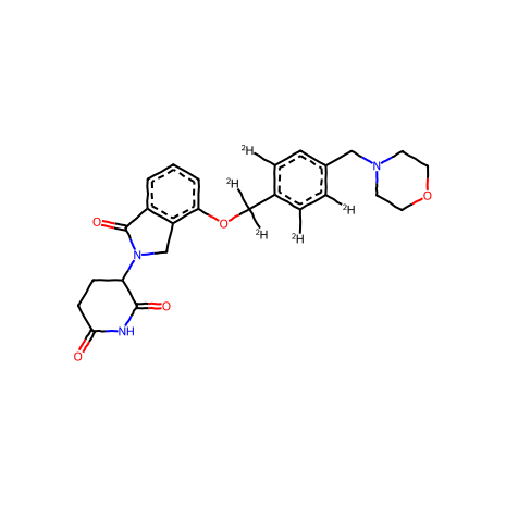 [2H]c1cc(CN2CCOCC2)c([2H])c([2H])c1C([2H])([2H])Oc1cccc2c1CN(C1CCC(=O)NC1=O)C2=O